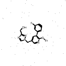 CCOc1ncc(Cn2cnc(CO)n2)cc1-c1cc#cc(F)c1